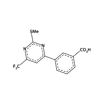 CSc1nc(-c2cccc(C(=O)O)c2)cc(C(F)(F)F)n1